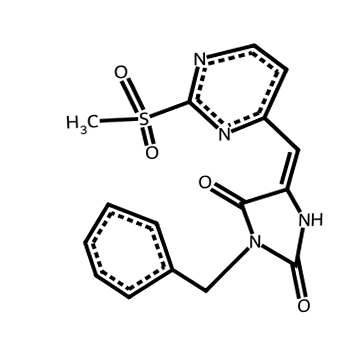 CS(=O)(=O)c1nccc(C=C2NC(=O)N(Cc3ccccc3)C2=O)n1